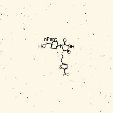 CCCCC[C@@H](O)c1ccc(N2C(=O)NC(=O)[C@@H]2CCCc2ccc(C(C)=O)s2)cc1